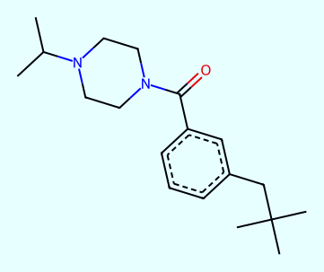 CC(C)N1CCN(C(=O)c2cccc(CC(C)(C)C)c2)CC1